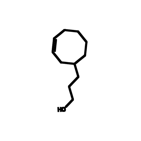 OCCCC1CC=CCCCC1